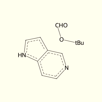 CC(C)(C)OC=O.c1cc2[nH]ccc2cn1